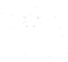 CCCCN1C(=O)CC(SCC(NC)C(C)=O)C1=O